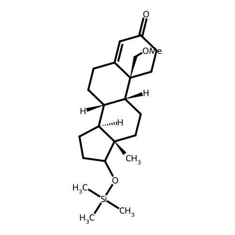 COC[C@]12CCC(=O)C=C1CC[C@@H]1[C@H]2CC[C@]2(C)C(O[Si](C)(C)C)CC[C@@H]12